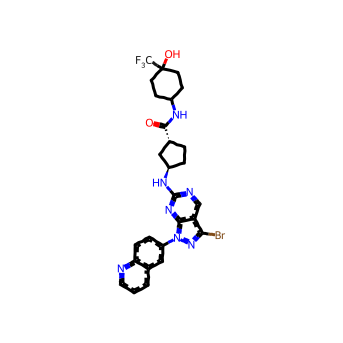 O=C(NC1CCC(O)(C(F)(F)F)CC1)[C@@H]1CC[C@@H](Nc2ncc3c(Br)nn(-c4ccc5ncccc5c4)c3n2)C1